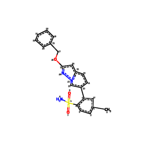 Cc1ccc(S(N)(=O)=O)c(-c2ccc3cc(OCc4ccccc4)nn3c2)c1